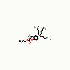 CCC[CH2][Sn]([CH2]CCC)([CH2]CCC)[c]1ccc2c(c1)CC(C)(C(=O)OCC)O2